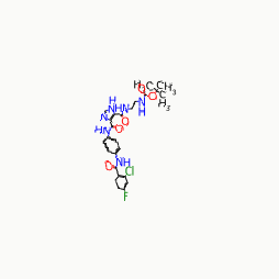 CC(C)(C)OC(=O)NCCNC(=O)c1[nH]cnc1C(=O)Nc1ccc(NC(=O)c2ccc(F)cc2Cl)cc1